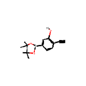 C#Cc1ccc(B2OC(C)(C)C(C)(C)O2)cc1OCC